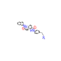 CN(C)CCCc1ccc(NC(=O)c2cccc([C@@H]3C[C@H]3C(=O)Nc3ccc4ccccc4c3)c2)cc1